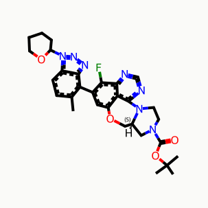 Cc1ccc2c(nnn2C2CCCCO2)c1-c1cc2c3c(ncnc3c1F)N1CCN(C(=O)OC(C)(C)C)C[C@H]1CO2